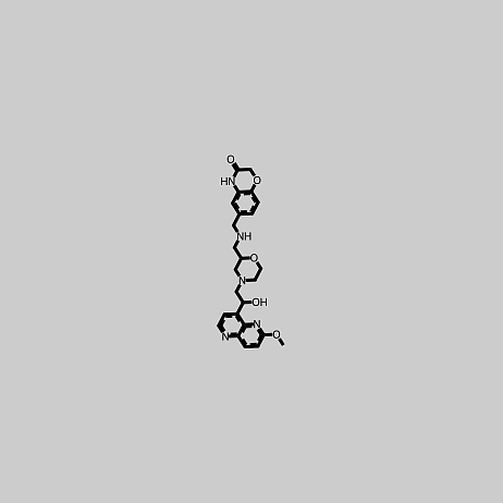 COc1ccc2nccc(C(O)CN3CCOC(CNCc4ccc5c(c4)NC(=O)CO5)C3)c2n1